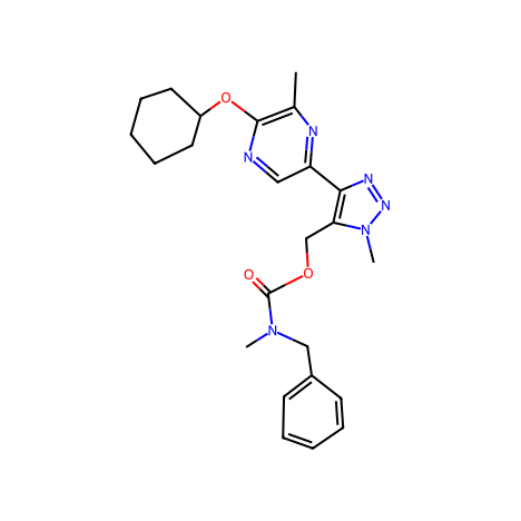 Cc1nc(-c2nnn(C)c2COC(=O)N(C)Cc2ccccc2)cnc1OC1CCCCC1